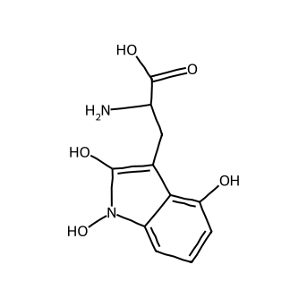 NC(Cc1c(O)n(O)c2cccc(O)c12)C(=O)O